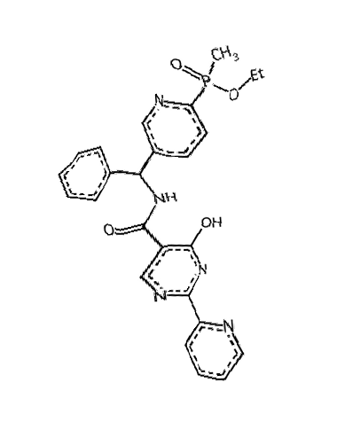 CCOP(C)(=O)c1ccc(C(NC(=O)c2cnc(-c3ccccn3)nc2O)c2ccccc2)cn1